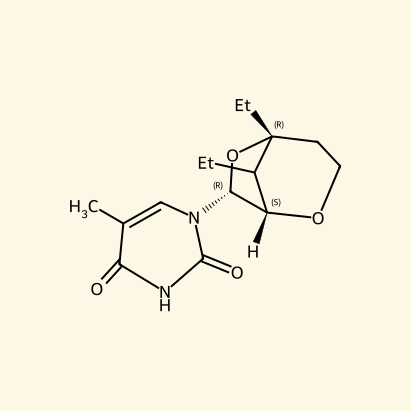 CCC1[C@@H]2OCC[C@@]1(CC)O[C@H]2n1cc(C)c(=O)[nH]c1=O